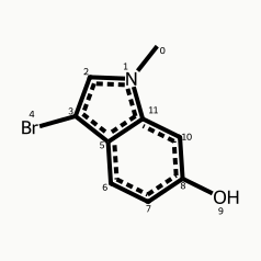 Cn1cc(Br)c2ccc(O)cc21